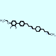 C/C=C/CCC1=CCC(/C=C/CCc2ccc(-c3ccc(OCC)c(F)c3F)cc2)CC1